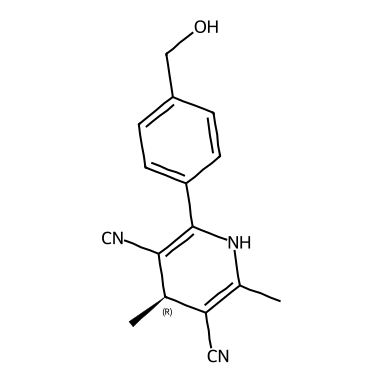 [C-]#[N+]C1=C(c2ccc(CO)cc2)NC(C)=C(C#N)[C@H]1C